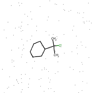 [CH2]C(C)(Cl)C1CCCCC1